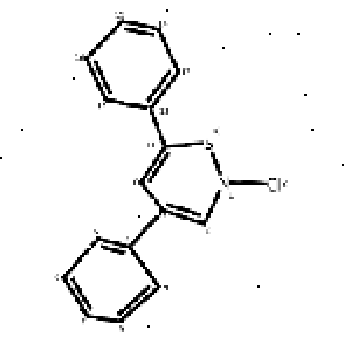 ClN1C=C(c2ccccc2)C=C(c2ccccc2)S1